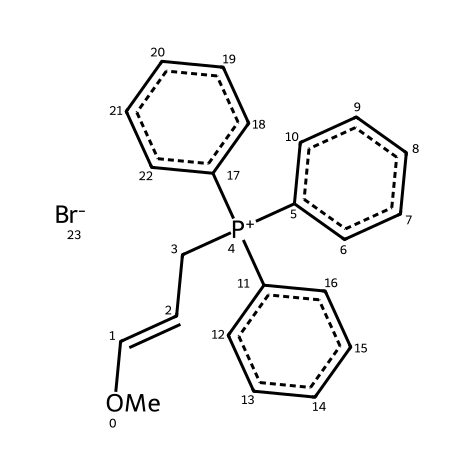 COC=CC[P+](c1ccccc1)(c1ccccc1)c1ccccc1.[Br-]